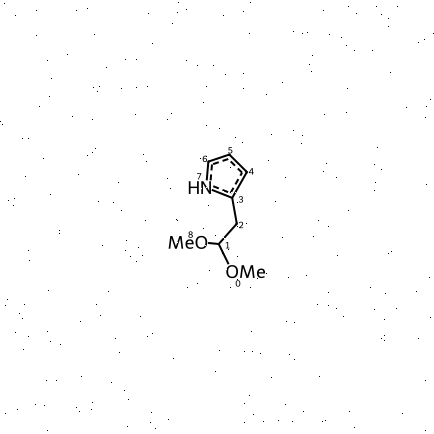 COC(Cc1ccc[nH]1)OC